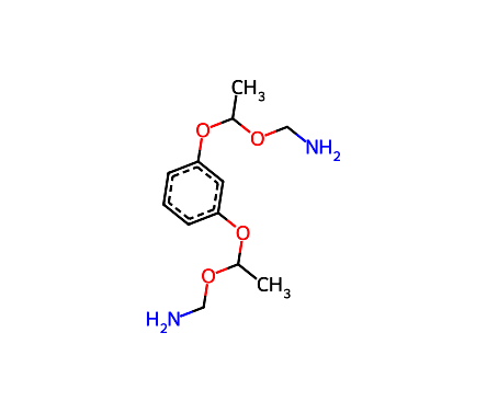 CC(OCN)Oc1cccc(OC(C)OCN)c1